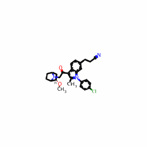 CO[C@H]1CC2CCC1N2CC(=O)c1c(C)n(-c2ccc(Cl)cc2)c2cc(CCC#N)ccc12